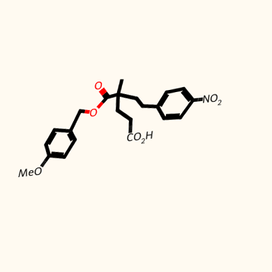 COc1ccc(COC(=O)C(C)(CCC(=O)O)CCc2ccc([N+](=O)[O-])cc2)cc1